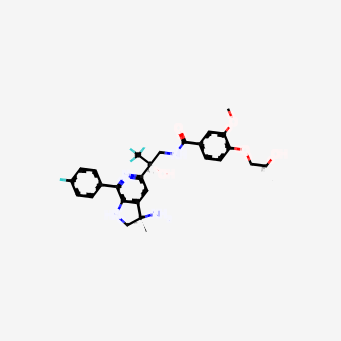 COc1cc(C(=O)NC[C@@](O)(c2cc3c(c(-c4ccc(F)cc4)n2)NC[C@@]3(C)N)C(F)(F)F)ccc1OC[C@@H](C)O